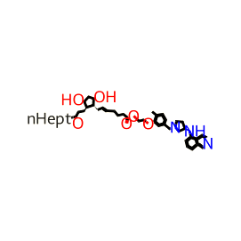 CCCCCCCC(=O)CC[C@@H]1[C@@H](CC=CCCCC(=O)OCCOc2cc(CN3CC[C@@H](Nc4cccc5cnccc45)C3)ccc2C)[C@@H](O)C[C@H]1O